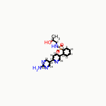 CC(O)CNS(=O)(=O)c1ccccc1-c1ccc(-c2cnc(N)nc2)nc1